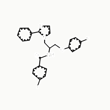 O=C(NC(COc1ccc(F)cc1)Cn1ccnc1-c1ccccc1)c1ccc(I)cc1